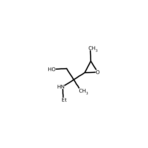 CCNC(C)(CO)C1OC1C